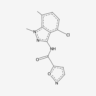 Cc1ccc(Cl)c2c(NC(=O)c3ccno3)nn(C)c12